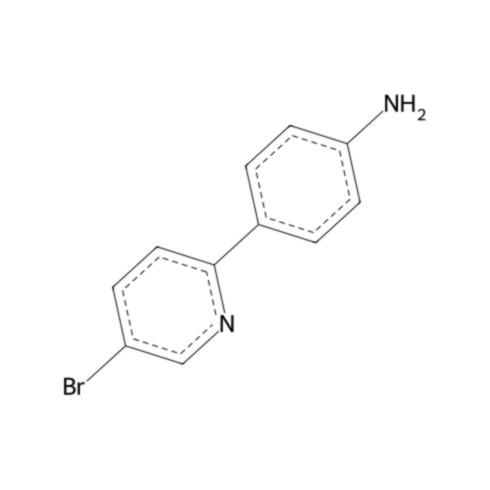 Nc1ccc(-c2ccc(Br)cn2)cc1